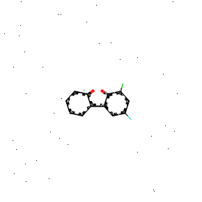 Fc1cc(Cl)c2oc3ccccc3c2c1